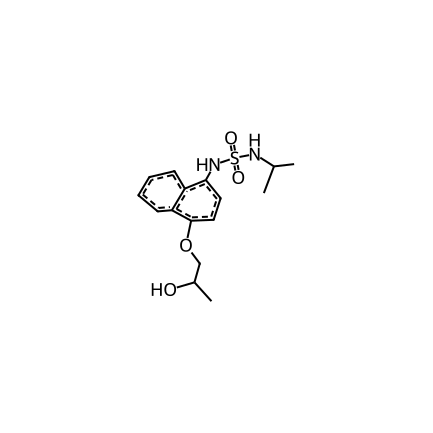 CC(O)COc1ccc(NS(=O)(=O)NC(C)C)c2ccccc12